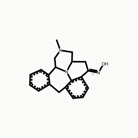 CN1CC2C/C(=N\O)c3cccc4c3N2C(C1)c1ccccc1C4